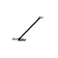 CO[Si](CCCCCCCCCCCCCCCCCCCCCCCCCCCCCCCCCCCCO)(OC)OC